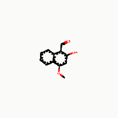 COc1cc(O)c(C=O)c2ccccc12